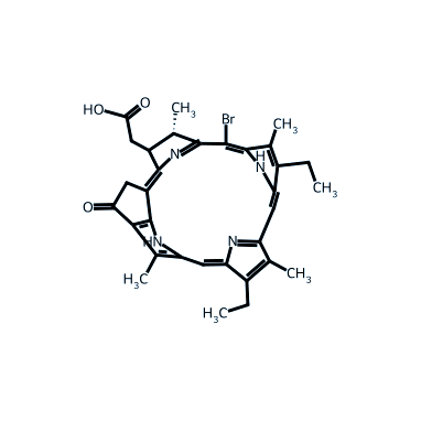 CCC1=C(C)c2cc3[nH]c(c(C)c3CC)c(Br)c3nc(c4c5[nH]c(cc1n2)c(C)c5C(=O)C4)C(CC(=O)O)[C@@H]3C